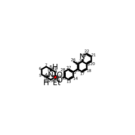 CCC(=O)N1[C@@H]2CCC[C@H]1C[C@@H](Oc1ccc(-c3ccc4cccnc4c3C)cc1)C2